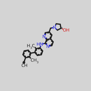 C#Cc1cccc(-c2cccc(Nc3nccc4cc(CN5CC[C@@H](O)C5)cnc34)c2C)c1C